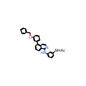 CC(=O)Nc1cccc(Nc2nccc3c(-c4cccc(OCc5ccccc5)c4)cccc23)c1